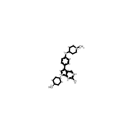 CN1CCC(Oc2ccc(-c3cn([C@H]4CC[C@H](O)CC4)c4nc(Cl)ncc34)cc2)CC1